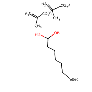 C=C(C)C(=O)O.C=C(C)C(=O)O.CCCCCCCCCCCCCCCC(O)O